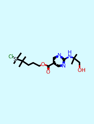 CC(C)(CO)Nc1ncc(C(=O)OCCCC(C)(C)[Si](C)(C)Cl)cn1